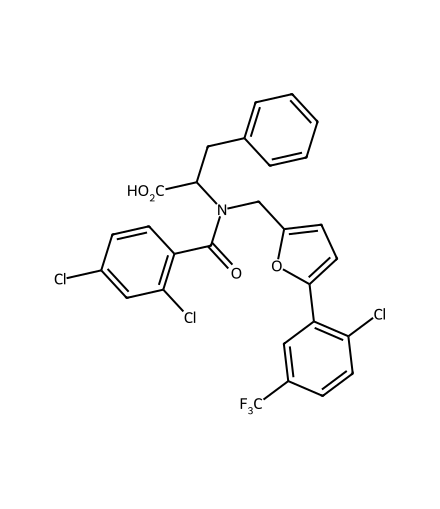 O=C(O)C(Cc1ccccc1)N(Cc1ccc(-c2cc(C(F)(F)F)ccc2Cl)o1)C(=O)c1ccc(Cl)cc1Cl